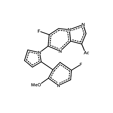 COc1ncc(F)cc1-c1cccn1-c1nc2c(C(C)=O)cnn2cc1F